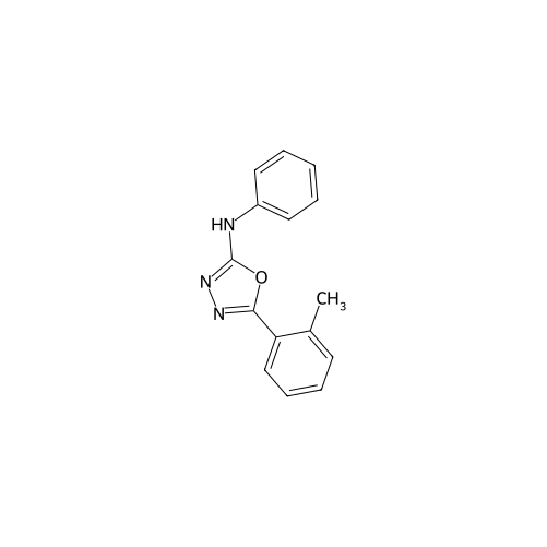 Cc1ccccc1-c1nnc(Nc2ccccc2)o1